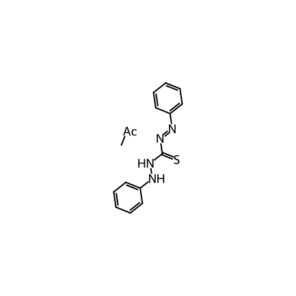 CC(C)=O.S=C(/N=N/c1ccccc1)NNc1ccccc1